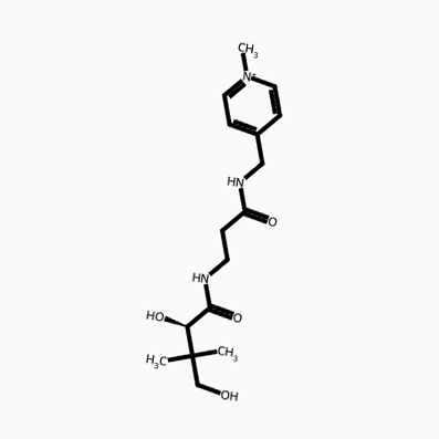 C[n+]1ccc(CNC(=O)CCNC(=O)[C@H](O)C(C)(C)CO)cc1